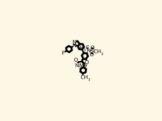 CNC(=O)c1c(-c2ccc(C)cc2)oc2cc(N(C)S(C)(=O)=O)c(-c3ccc4cnn(-c5ccc(F)cc5)c4c3)cc12